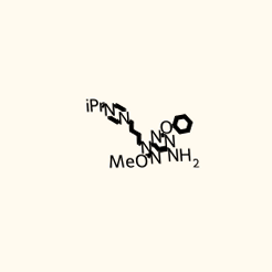 COc1nc2c(N)nc(OC3CCCCC3)nc2n1CCCCN1CCN(C(C)C)CC1